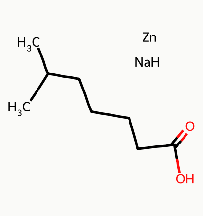 CC(C)CCCCC(=O)O.[NaH].[Zn]